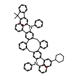 CC1(C)c2ccccc2-c2cc(N(c3ccccc3)c3cc4c(cc3-c3ccccc3)-c3ccccc3Cc3cc(N(c5ccccc5)c5ccccc5)c(-c5cccc(C6CCCCC6)c5)cc3-c3ccccc3C4)ccc21